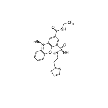 CCCCNc1cc(C(=O)NCC(F)(F)F)cc(S(=N)(=O)NCCc2nccs2)c1Oc1ccccc1